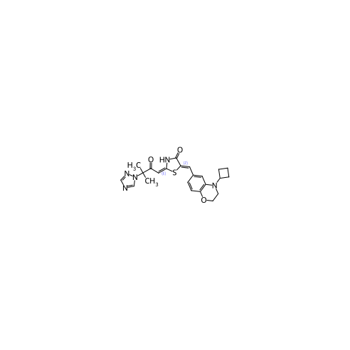 CC(C)(C(=O)/C=c1\[nH]c(=O)/c(=C/c2ccc3c(c2)N(C2CCC2)CCO3)s1)n1cncn1